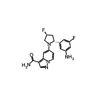 NC(=O)c1cnn2ccc(N3C[C@@H](F)C[C@@H]3c3cc(N)cc(F)c3)cc12